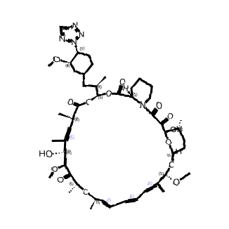 COC1C(=O)[C@@H](C)C[C@H](C)/C=C/C=C/C=C(\C)[C@@H](OC)C[C@@H]2CC[C@@H](C)C(O)(O2)C(=O)C(=O)N2CCCC[C@H]2C(=O)O[C@H]([C@H](C)CC2CC[C@H](n3ncnn3)[C@H](OC)C2)CC(=O)[C@H](C)/C=C(\C)[C@H]1O